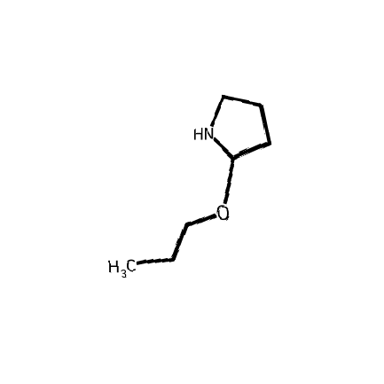 CCCOC1CCCN1